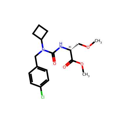 COC[C@@H](NC(=O)N(Cc1ccc(Cl)cc1)C1CCC1)C(=O)OC